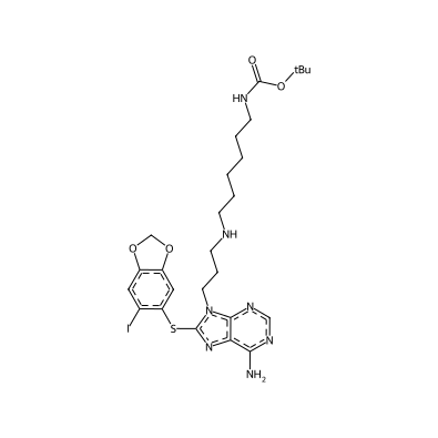 CC(C)(C)OC(=O)NCCCCCCNCCCn1c(Sc2cc3c(cc2I)OCO3)nc2c(N)ncnc21